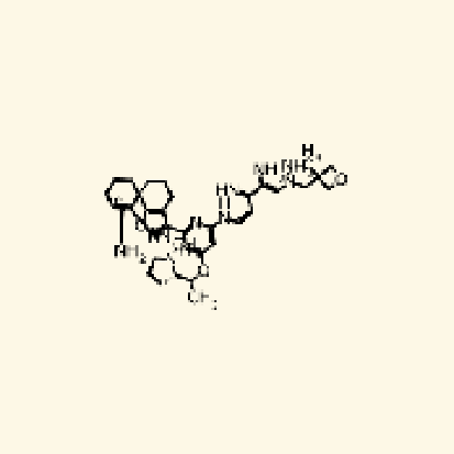 C[C@H](Oc1cc(N/C=C\C(=N)/C(N)=C/N(N)CC2(C)COC2)nc(-c2noc3c2CCC[C@@]32CCCc3sc(N)c(C#N)c32)n1)[C@@H]1CCCN1C